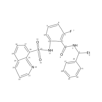 CCC(NC(=O)c1c(F)cccc1NS(=O)(=O)c1cccc2cccnc12)c1ccccc1